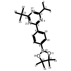 CC(C)c1nc(-c2ccc(B3OC(C)(C)C(C)(C)O3)cc2)nc(C(C)(C)C)n1